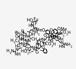 CC[C@H](C)[C@H](NC(=O)[C@H](CCCNC(=N)N)NC(=O)[C@H](C)N)C(=O)N[C@@H](C)C(=O)N[C@@H](CCCNC(=N)N)C(=O)NCC(=O)N[C@@H](CC(=O)O)C(=O)N[C@@H](Cc1ccccc1)C(=O)N1CCC[C@H]1C(=O)N[C@@H](CC(=O)O)C(=O)C(NC(=O)[C@H](CCCNC(=N)N)NC(=O)[C@@H](N)CC(=O)O)(C(C)=O)c1cc(OC)cc2c1C(C)(C)c1ccc(OC)cc1O2.O=C(O)C(F)(F)F